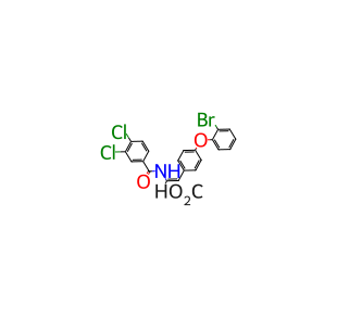 O=C(O)C(=Cc1ccc(Oc2ccccc2Br)cc1)NC(=O)c1ccc(Cl)c(Cl)c1